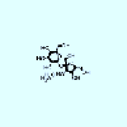 O.OC[C@H]1O[C@@](CO)(O[C@H]2O[C@H](CO)[C@@H](O)[C@H](O)[C@H]2O)[C@@H](O)[C@@H]1O.[AlH3]